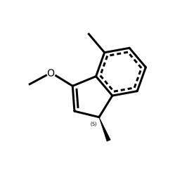 COC1=C[C@H](C)c2cccc(C)c21